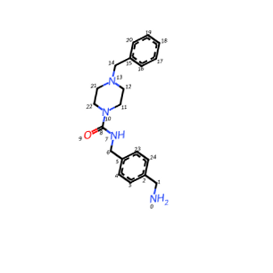 NCc1ccc(CNC(=O)N2CCN(Cc3ccccc3)CC2)cc1